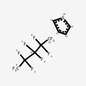 FC(F)(F)C(F)(F)C(F)(F)C(F)(F)C(F)(F)F.c1ccsc1